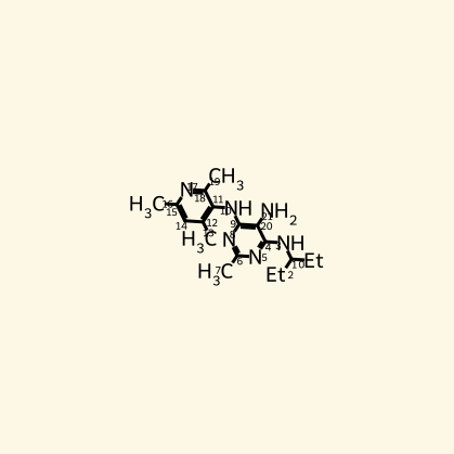 CCC(CC)Nc1nc(C)nc(Nc2c(C)cc(C)nc2C)c1N